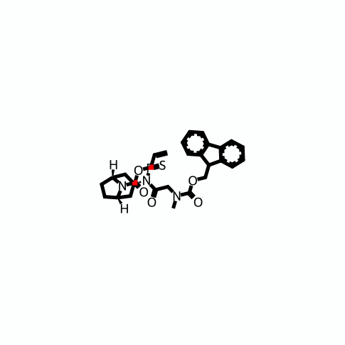 C=CCOC(=O)N1[C@@H]2CC[C@H]1C[C@@H](N(P=S)C(=O)CN(C)C(=O)OCC1c3ccccc3-c3ccccc31)C2